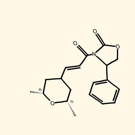 C[C@@H]1CC(C=CC(=O)N2C(=O)OCC2c2ccccc2)C[C@H](C)O1